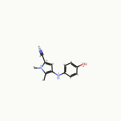 Cc1c(Nc2ccc(O)cc2)cc(C#N)n1C